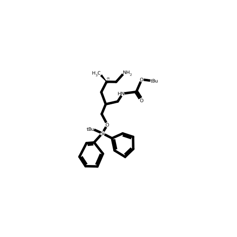 C[C@@H](CN)CC(CNC(=O)OC(C)(C)C)CO[Si](c1ccccc1)(c1ccccc1)C(C)(C)C